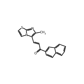 Cc1nc2sccn2c1/C=C/C(=O)c1ccc2ccccc2c1